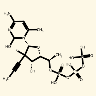 CC#CC1(F)[C@@H](O)[C@@H]([C@@H](C)OP(=O)(O)OP(=O)(O)OP(=O)(O)O)O[C@H]1N1C(C)=CC(N)=NC1O